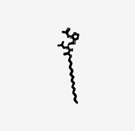 CCCCCCCCCCCCCCOC(=O)N[C@@H](CN[C@H]1CCO[C@H]1OC(C)=O)CC(C)C